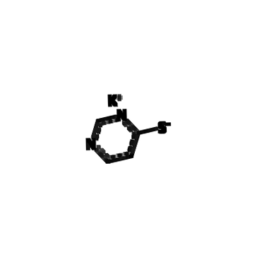 [K+].[S-]c1ccncn1